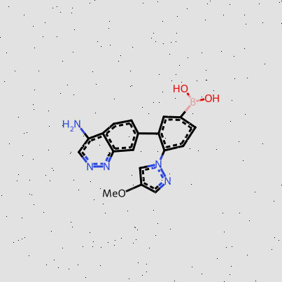 COc1cnn(-c2ccc(B(O)O)cc2-c2ccc3c(N)cnnc3c2)c1